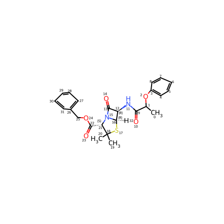 CC(Oc1ccccc1)C(=O)N[C@@H]1C(=O)N2[C@@H]1SC(C)(C)[C@@H]2C(=O)OCc1ccccc1